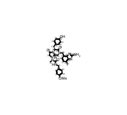 COc1ccc(CNC(=O)N(C)N2CC(=O)N3[C@@H](Cc4ccc(O)cc4)C(=O)N(Cc4ccc(F)c5sc(N)nc45)C[C@@H]32)cc1